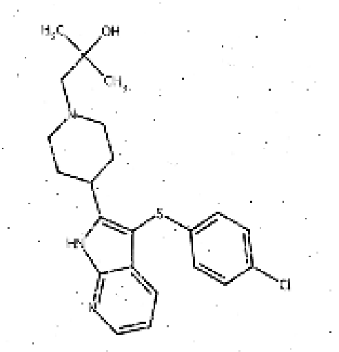 CC(C)(O)CN1CCC(c2[nH]c3ncccc3c2Sc2ccc(Cl)cc2)CC1